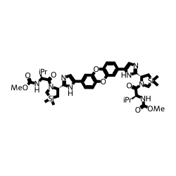 COC(=O)N[C@H](C(=O)N1C[Si](C)(C)C[C@H]1c1ncc(-c2ccc3c(c2)Oc2ccc(-c4cnc([C@@H]5C[Si](C)(C)CN5C(=O)[C@@H](NC(=O)OC)C(C)C)[nH]4)cc2O3)[nH]1)C(C)C